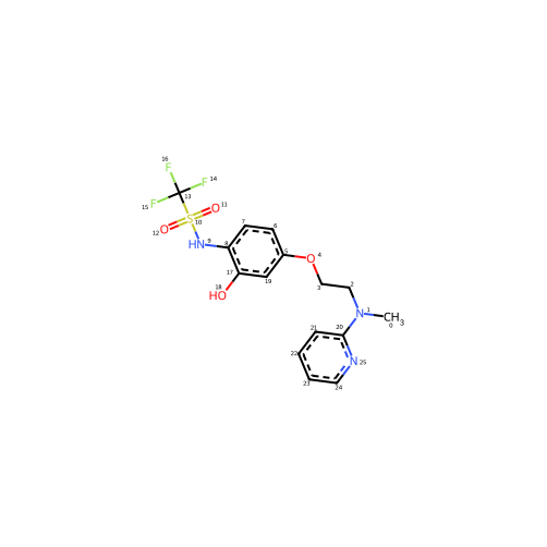 CN(CCOc1ccc(NS(=O)(=O)C(F)(F)F)c(O)c1)c1ccccn1